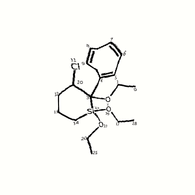 CCOC1(c2ccccc2)C(Cl)CCC[Si]1(OCC)OCC